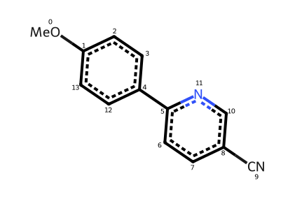 COc1ccc(-c2ccc(C#N)cn2)cc1